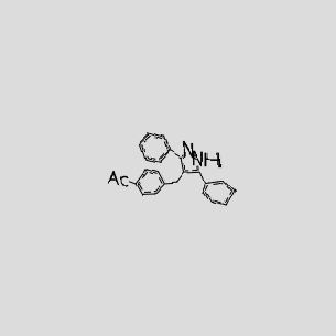 CC(=O)c1ccc(Cc2c(-c3ccccc3)n[nH]c2-c2ccccc2)cc1